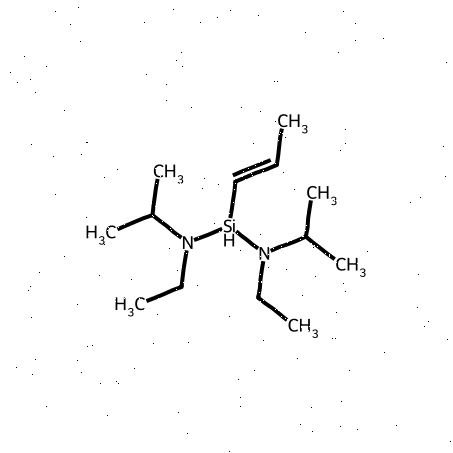 CC=C[SiH](N(CC)C(C)C)N(CC)C(C)C